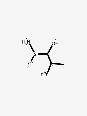 CCCC(C)C(O)[S+](N)[O-]